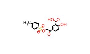 Cc1ccc(S(=O)(=O)OCC(=O)c2ccc(O)c(C(=O)O)c2)cc1